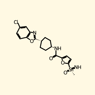 C[S@](=N)(=O)c1ccc(C(=O)N[C@H]2CC[C@@H](c3nc4cc(Cl)ccc4o3)CC2)o1